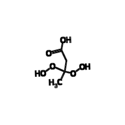 CC(CC(=O)O)(OO)OO